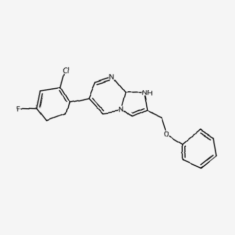 FC1=CC(Cl)=C(C2=CN3C=C(COc4ccccc4)NC3N=C2)CC1